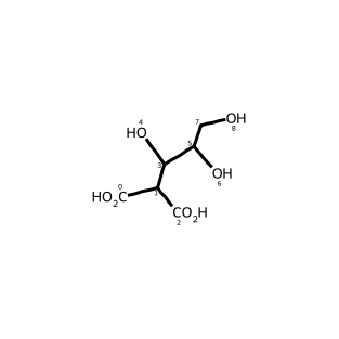 O=C(O)C(C(=O)O)C(O)C(O)CO